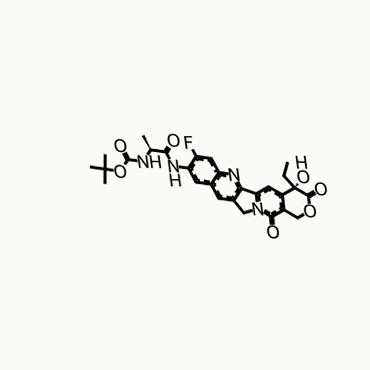 CC[C@@]1(O)C(=O)OCc2c1cc1n(c2=O)Cc2cc3cc(NC(=O)[C@H](C)NC(=O)OC(C)(C)C)c(F)cc3nc2-1